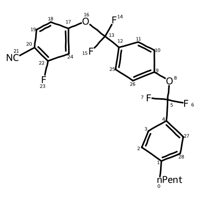 CCCCCc1ccc(C(F)(F)Oc2ccc(C(F)(F)Oc3ccc(C#N)c(F)c3)cc2)cc1